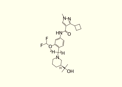 [2H]C([2H])(c1ccc(NC(=O)c2cn(C)nc2C2CCC2)cc1OC(F)F)N1CCC[C@H](C(C)(C)O)C1